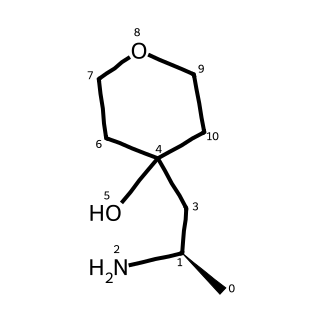 C[C@@H](N)CC1(O)CCOCC1